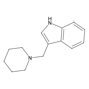 [c]1cccc2c(CN3CCCCC3)c[nH]c12